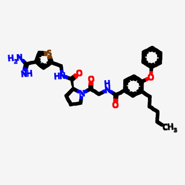 CCCCCc1cc(C(=O)NCC(=O)N2CCC[C@H]2C(=O)NCc2cc(C(=N)N)cs2)ccc1Oc1ccccc1